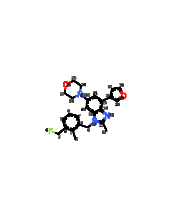 Cc1c(CF)cccc1Cn1c(C)nc2c(-c3ccoc3)cc(N3CCOCC3)cc21